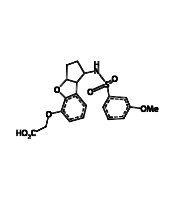 COc1cccc(S(=O)(=O)NC2CCC3Oc4c(OCC(=O)O)cccc4C23)c1